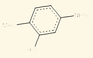 COc1ccc(NC(C)=O)cc1O